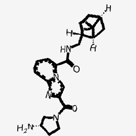 CC1(C)[C@H]2CC[C@@H](CNC(=O)c3cccc4nc(C(=O)N5CC[C@H](N)C5)cn34)[C@@H]1C2